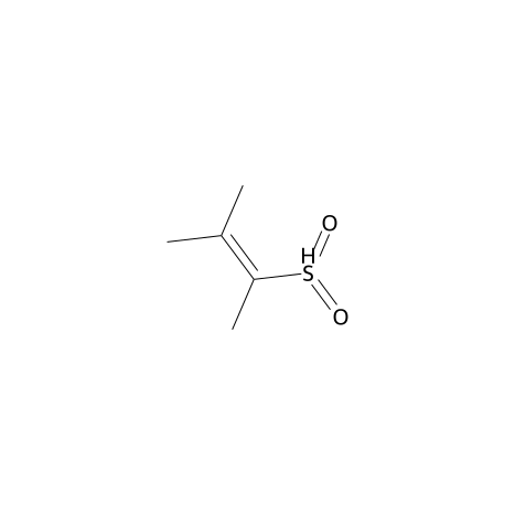 CC(C)=C(C)[SH](=O)=O